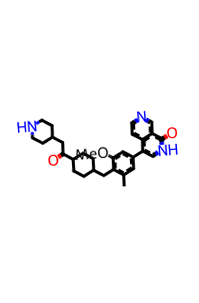 COc1cc(-c2c[nH]c(=O)c3cnccc23)cc(C)c1CC1CCC(C(=O)CC2CCNCC2)CC1